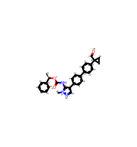 C[C@@H](OC(=O)Nc1c(-c2ccc(-c3ccc(C4(C=O)CC4)cc3)cc2)cnn1C)c1ccccc1